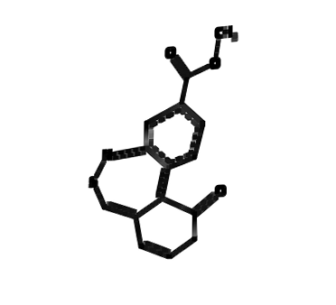 COC(=O)c1ccc2c(c1)=NSC=C1C=CCC(=O)C=21